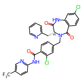 O=C(Nc1ccc(C(F)(F)F)cn1)c1ccc(CN2C(=O)c3ccc(Cl)cc3NC(=O)[C@H]2Cc2ccccn2)cc1Cl